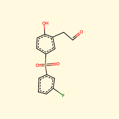 O=CCc1cc(S(=O)(=O)c2cccc(F)c2)ccc1O